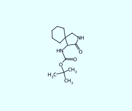 CC(C)(C)OC(=O)NC1C(=O)NCC12CCCCC2